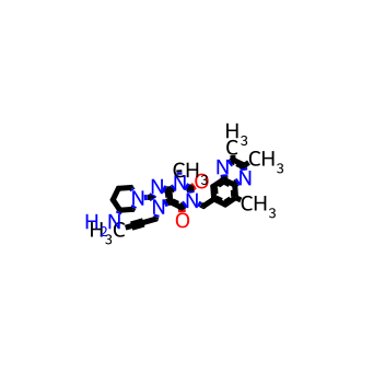 CC#CCn1c(N2CCCC(N)C2)nc2c1c(=O)n(Cc1cc(C)c3nc(C)c(C)nc3c1)c(=O)n2C